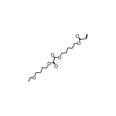 C=CC(=O)OCCCCCOC(=O)C(=O)OCCCCOCC